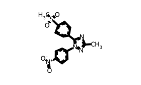 Cc1nc(-c2ccc(S(C)(=O)=O)cc2)n(-c2ccc([N+](=O)[O-])cc2)n1